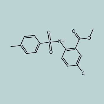 COC(=O)c1cc(Cl)ccc1NS(=O)(=O)c1ccc(C)cc1